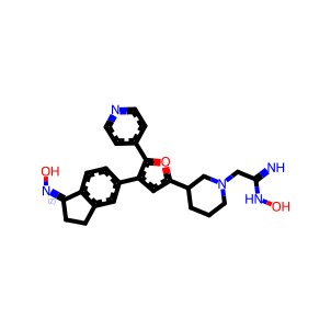 N=C(CN1CCCC(c2cc(-c3ccc4c(c3)CC/C4=N/O)c(-c3ccncc3)o2)C1)NO